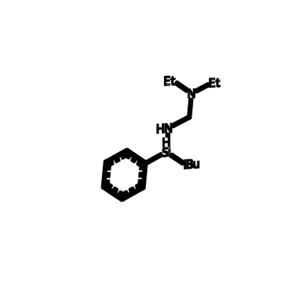 CCC(C)[SiH](NCN(CC)CC)c1ccccc1